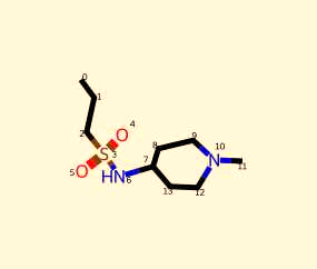 CCCS(=O)(=O)NC1CCN(C)CC1